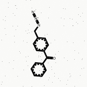 [N-]=[N+]=NCc1ccc(C(=O)c2ccccc2)cc1